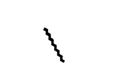 C=CC=CC=CCCCCC[CH]CC